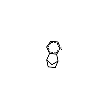 c1cnc2c(c1)C1CC[C]2C1